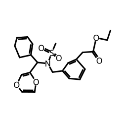 CCOC(=O)Cc1cccc(CN(C(C2=CC=CCC2)C2=COC=CO2)S(C)(=O)=O)c1